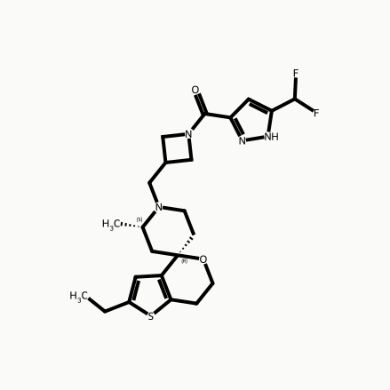 CCc1cc2c(s1)CCO[C@@]21CCN(CC2CN(C(=O)c3cc(C(F)F)[nH]n3)C2)[C@@H](C)C1